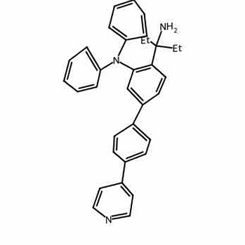 CCC(N)(CC)c1ccc(-c2ccc(-c3ccncc3)cc2)cc1N(c1ccccc1)c1ccccc1